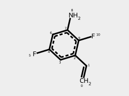 C=Cc1cc(F)cc(N)c1F